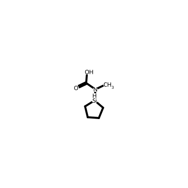 CN(C(=O)O)[SiH]1CCCC1